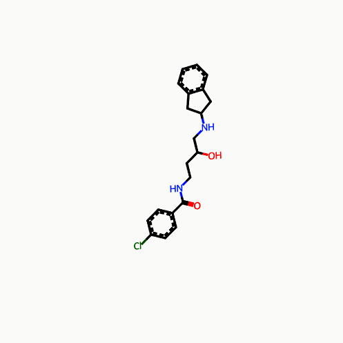 O=C(NCCC(O)CNC1Cc2ccccc2C1)c1ccc(Cl)cc1